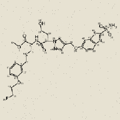 COC(=O)[C@@H](CSCc1cccc(OCCF)c1)NC(=O)[C@H](CCO)n1cc(COc2ccc3nc(S(N)(=O)=O)sc3c2)nn1